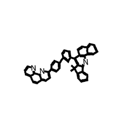 CC1(C)c2ccccc2-c2nc3c(ccc4ccccc43)c(-c3cccc(-c4ccc(-c5ccc6ccc7cccnc7c6n5)cc4)c3)c21